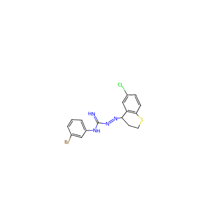 N=C(N=NC1CCSc2ccc(Cl)cc21)Nc1cccc(Br)c1